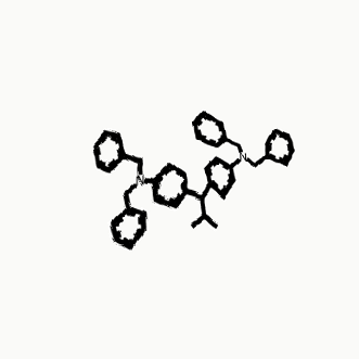 CC(C)C(c1ccc(N(Cc2ccccc2)Cc2ccccc2)cc1)c1ccc(N(Cc2ccccc2)Cc2ccccc2)cc1